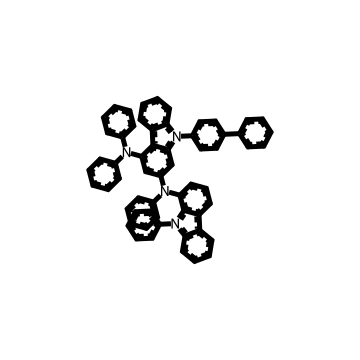 c1ccc(-c2ccc(-n3c4ccccc4c4c(N(c5ccccc5)c5ccccc5)cc(N(c5ccccc5)c5cccc6c7ccccc7n(-c7ccccc7)c56)cc43)cc2)cc1